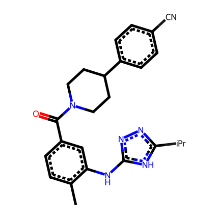 Cc1ccc(C(=O)N2CCC(c3ccc(C#N)cc3)CC2)cc1Nc1nnc(C(C)C)[nH]1